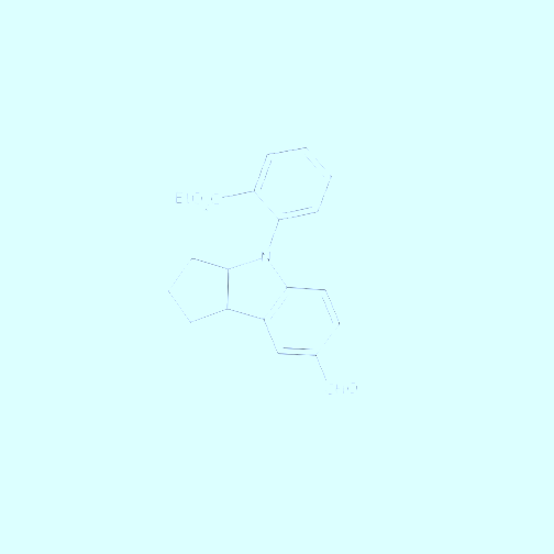 CCOC(=O)c1ccccc1N1c2ccc(C=O)cc2C2CCCC21